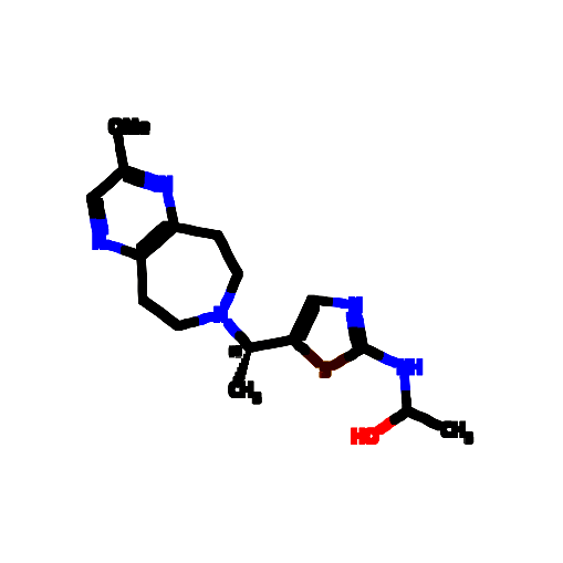 COc1cnc2c(n1)CCN([C@@H](C)c1cnc(NC(C)O)s1)CC2